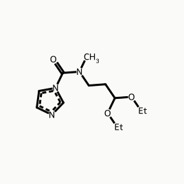 CCOC(CCN(C)C(=O)n1ccnc1)OCC